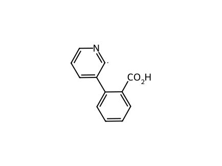 O=C(O)c1ccccc1-c1[c]nccc1